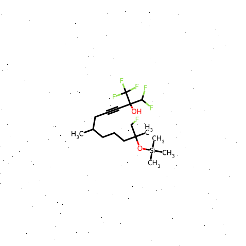 CC(CC#CC(O)(C(F)F)C(F)(F)F)CCCC(C)(CF)O[Si](C)(C)C